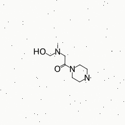 CN(CO)CC(=O)N1CC[N]CC1